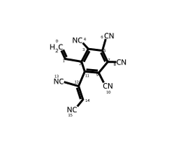 C=Cc1c(C#N)c(C#N)c(C#N)c(C#N)c1C(C#N)=CC#N